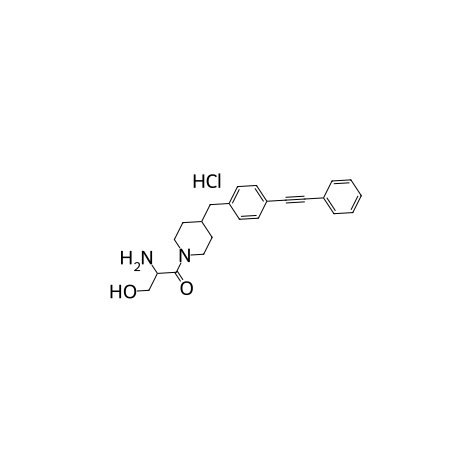 Cl.NC(CO)C(=O)N1CCC(Cc2ccc(C#Cc3ccccc3)cc2)CC1